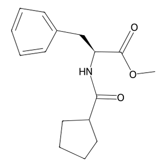 COC(=O)[C@H](Cc1ccccc1)NC(=O)C1CCCC1